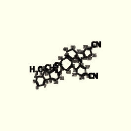 CC1(C)c2ccccc2-c2ccc3c4c(sc3c21)CCCC(C1CC=C(C#N)C=C1n1c2c(c3cc(C#N)ccc31)CCC=C2)=C4